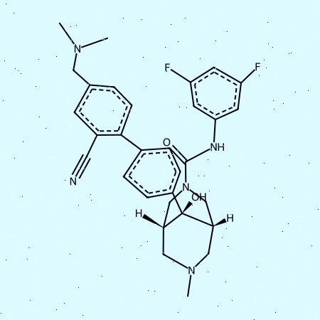 CN(C)Cc1ccc(-c2ccc([C@@]3(O)[C@@H]4CN(C)C[C@H]3CN(C(=O)Nc3cc(F)cc(F)c3)C4)cc2)c(C#N)c1